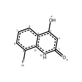 O=c1cc(O)c2cccc(F)c2[nH]1